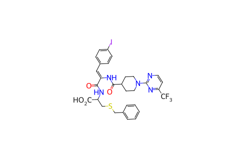 O=C(NC(CSCc1ccccc1)C(=O)O)C(=Cc1ccc(I)cc1)NC(=O)C1CCN(c2nccc(C(F)(F)F)n2)CC1